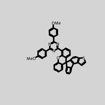 COc1ccc(-c2nc(-c3ccc(OC)cc3)nc(-c3cccc4c3Oc3ccccc3C43c4ccccc4-c4c3ccc3sccc43)n2)cc1